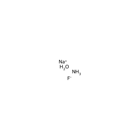 N.O.[F-].[Na+]